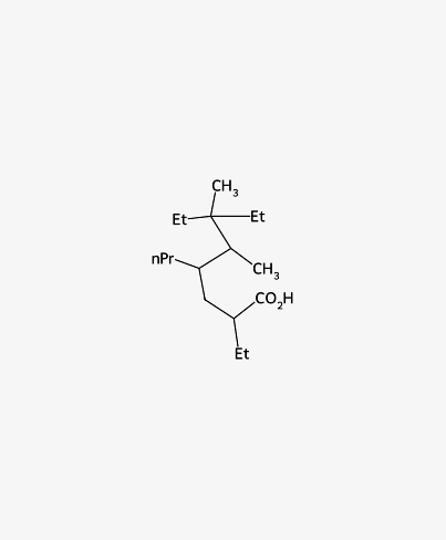 CCCC(CC(CC)C(=O)O)C(C)C(C)(CC)CC